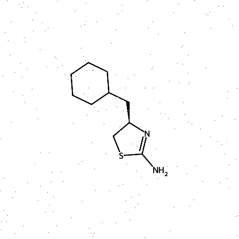 NC1=N[C@H](CC2CCCCC2)CS1